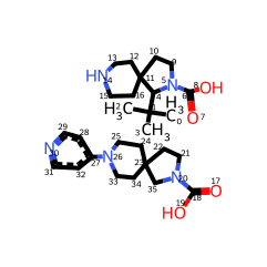 CC(C)(C)C1N(C(=O)O)CCC12CCNCC2.O=C(O)N1CCC2(CCN(c3ccncc3)CC2)C1